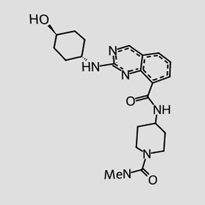 CNC(=O)N1CCC(NC(=O)c2cccc3cnc(N[C@H]4CC[C@H](O)CC4)nc23)CC1